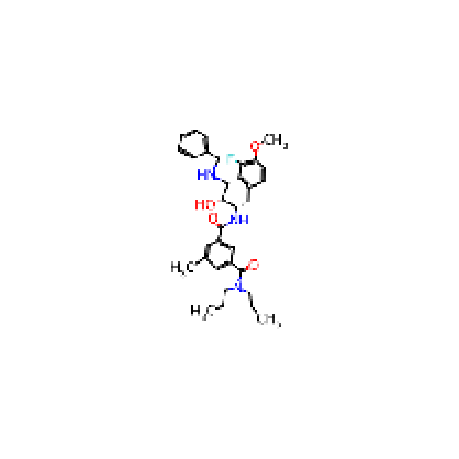 CCCN(CCC)C(=O)c1cc(C)cc(C(=O)N[C@@H](Cc2ccc(OC)c(F)c2)[C@H](O)CNCc2ccccc2)c1